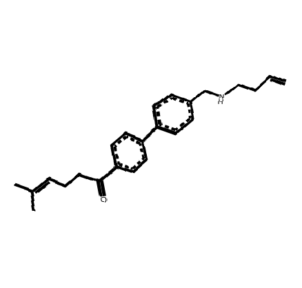 C=CCCNCc1ccc(-c2ccc(C(=O)CCC=C(C)C)cc2)cc1